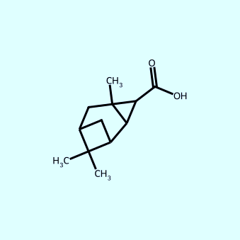 CC1(C)C2CC1C1C(C(=O)O)C1(C)C2